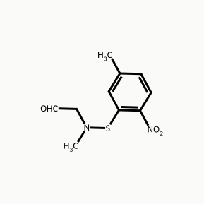 Cc1ccc([N+](=O)[O-])c(SN(C)CC=O)c1